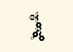 COCC(COc1ccc(CN(CCc2ccccc2)C(=O)c2ccc(Cl)cc2)cc1)N1CCOCC1